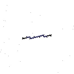 CC(C)=CCC/C(C)=C/C=C\C(C)=C/C=C/C(C)=C/C=C/C=C(C)/C=C/C=C(C)\C=C/C=C(\C)CCC=C(C)C